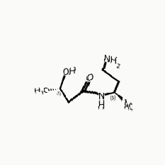 CC(=O)[C@H](CCN)NC(=O)C[C@H](C)O